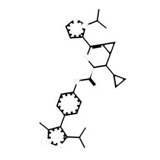 Cc1[nH]nc(C(C)C)c1-c1ccc(NC(=O)[C@H]2NC(c3ccnn3C(C)C)=C3CC3C2C2CC2)cc1